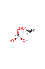 [MgH+].[OH-].[O]=[Pr](=[O])=[O]